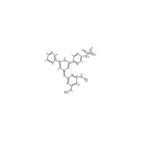 CCOc1cc(C=C2C=C(c3ccccc3)SC(c3ccccc3)=C2)cc(OCC)[s+]1.[O-][Cl+3]([O-])([O-])[O-]